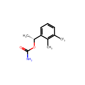 Cc1c([C@@H](C)OC(N)=O)cccc1C(F)(F)F